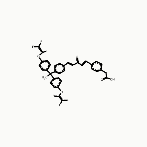 CC(c1ccc(C=CC(=O)C=Cc2ccc(CC(=O)O)cc2)cc1)(c1ccc(OC(F)=C(F)F)cc1)c1ccc(OC(F)=C(F)F)cc1